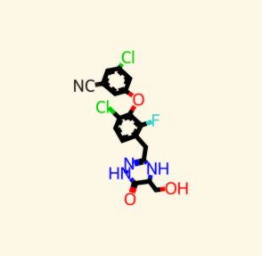 N#Cc1cc(Cl)cc(Oc2c(Cl)ccc(CC3=NNC(=O)C(CO)N3)c2F)c1